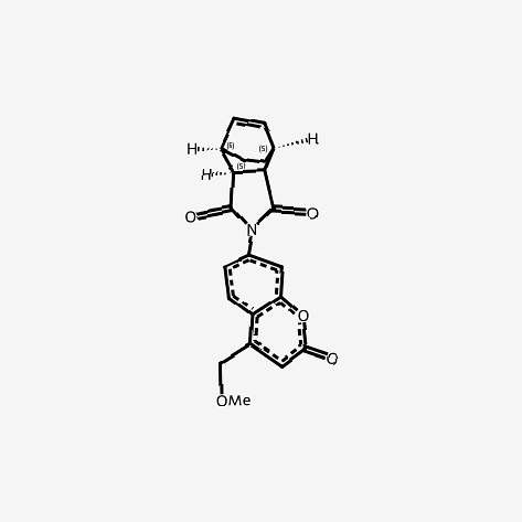 COCc1cc(=O)oc2cc(N3C(=O)C4[C@@H]5C=C[C@@H](CC5)[C@@H]4C3=O)ccc12